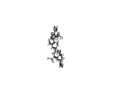 CC(C)c1cc(-c2ccc3c(ccc4sc(C#N)c(C(C)(C)C)c43)c2)nc2ccc(C#N)cc12